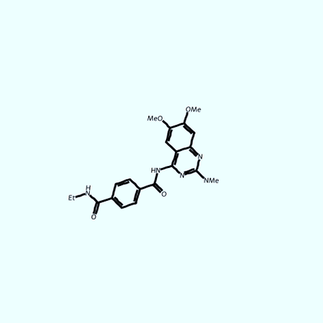 CCNC(=O)c1ccc(C(=O)Nc2nc(NC)nc3cc(OC)c(OC)cc23)cc1